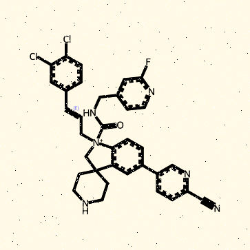 N#Cc1ccc(-c2ccc3c(c2)C2(CCNCC2)C[N+]3(C/C=C/c2ccc(Cl)c(Cl)c2)C(=O)NCc2ccnc(F)c2)cn1